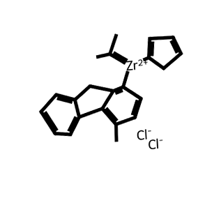 C[C](C)=[Zr+2]([C]1=CC=CC1)[c]1ccc(C)c2c1Cc1ccccc1-2.[Cl-].[Cl-]